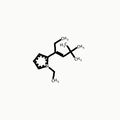 CC/C(=C\C(C)(C)C)c1cccn1CC